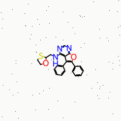 c1ccc(-c2oc3ncnc(NCC4OCCS4)c3c2-c2ccccc2)cc1